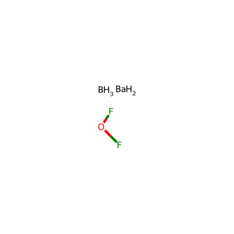 B.FOF.[BaH2]